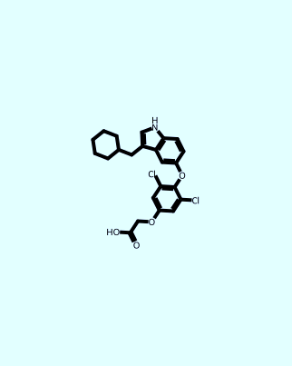 O=C(O)COc1cc(Cl)c(Oc2ccc3[nH]cc(CC4CCCCC4)c3c2)c(Cl)c1